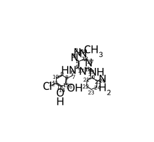 Cn1nnc2c(NCc3ccc(Cl)c(O)c3O)nc(NC3CCCCC3N)nc21